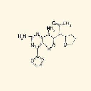 CC(=O)C(C(=O)N(N)c1nc(N)nc(-c2ncco2)c1Br)C1CCCO1